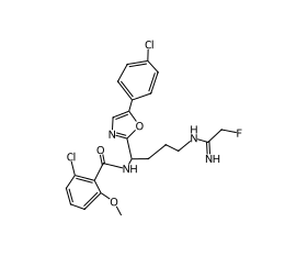 COc1cccc(Cl)c1C(=O)NC(CCCNC(=N)CF)c1ncc(-c2ccc(Cl)cc2)o1